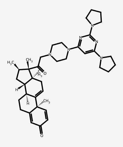 C[C@@H]1C[C@H]2[C@@H]3CCC4=CC(=O)C=C[C@]4(C)C3=CC[C@]2(C)[C@@]1(C)C(=O)CN1CCN(c2cc(N3CCCC3)nc(N3CCCC3)n2)CC1